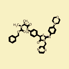 C[C@@H](C(=O)Nc1ccc(C2S/C(=N\c3ccc(N4CCOCC4)cc3)N(Cc3cnccn3)C2=O)cc1)N(C)C(=O)OCc1ccccc1